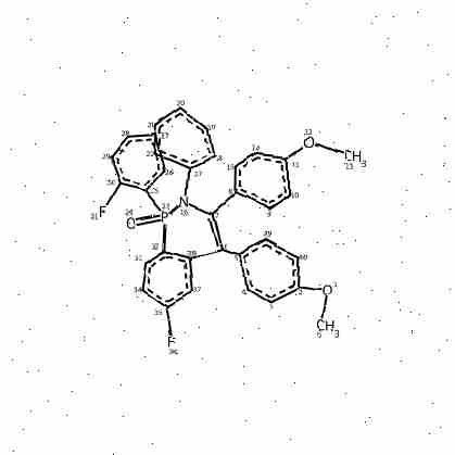 COc1ccc(C2=C(c3ccc(OC)cc3)N(c3ccccc3)P(=O)(c3ccccc3F)c3ccc(F)cc32)cc1